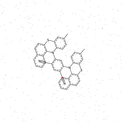 Cc1ccc2c(c1)Sc1ccc3ccccc3c1N2c1cc(N2c3ccc(C)cc3Sc3ccc4ccccc4c32)c(C#N)cc1C#N